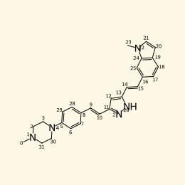 CN1CCN(c2ccc(C=Cc3cc(C=Cc4ccc5ccn(C)c5c4)[nH]n3)cc2)CC1